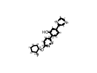 Oc1cc(-c2cnccn2)ccc1-c1ccc(O[C@@H]2CCCC[C@@H]2F)nn1